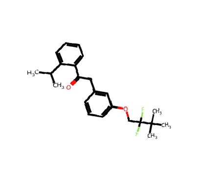 CC(C)c1ccccc1C(=O)Cc1cccc(OCC(F)(F)C(C)(C)C)c1